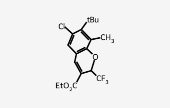 CCOC(=O)C1=Cc2cc(Cl)c(C(C)(C)C)c(C)c2OC1C(F)(F)F